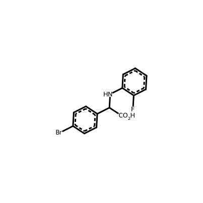 O=C(O)C(Nc1ccccc1F)c1ccc(Br)cc1